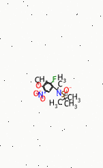 COc1cc(F)c(/C(C)=N/[S@+]([O-])C(C)(C)C)cc1[N+](=O)[O-]